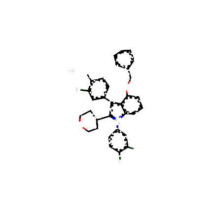 O=C(O)c1ccc(-c2c(C3CCOCC3)n(-c3ccc(F)c(F)c3)c3cccc(OCc4ccccc4)c23)cc1F